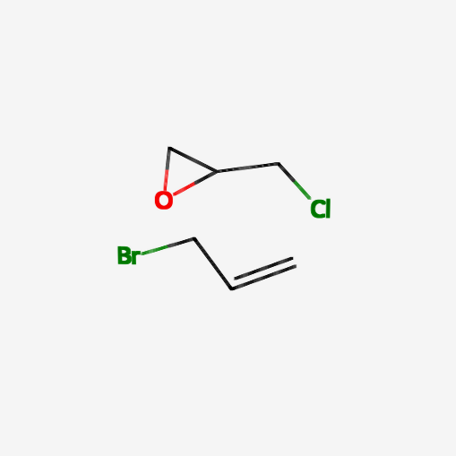 C=CCBr.ClCC1CO1